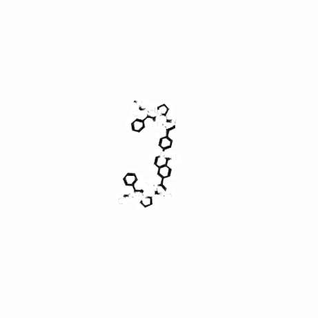 COC(=O)N[C@@H](C(=O)N1CCC[C@H]1c1ncc(-c2ccc(-n3ccc4cc(-c5c[nH]c([C@@H]6CCCN6C(=O)[C@H](NC=O)c6ccccc6)n5)ccc4c3=O)cc2)[nH]1)c1ccccc1